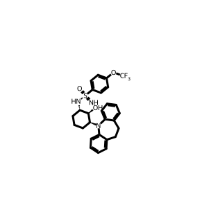 N=[S@](=O)(N[C@H]1CCC[C@H](N2c3ccccc3CCc3ccccc32)[C@@H]1O)c1ccc(OC(F)(F)F)cc1